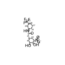 O=C(Cc1cc(O)c(O)c([N+](=O)[O-])c1)Nc1cccc(C(F)(F)F)c1